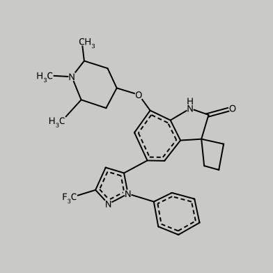 CC1CC(Oc2cc(-c3cc(C(F)(F)F)nn3-c3ccccc3)cc3c2NC(=O)C32CCC2)CC(C)N1C